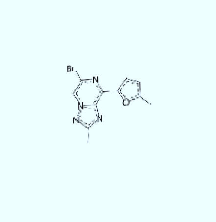 Cc1nc2c(-c3ccc(C)o3)nc(Br)cn2n1